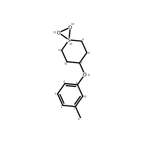 Cc1[c]ccc(OC2CCS3(CC2)OO3)c1